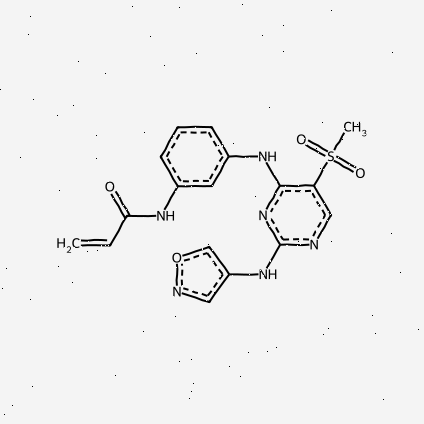 C=CC(=O)Nc1cccc(Nc2nc(Nc3cnoc3)ncc2S(C)(=O)=O)c1